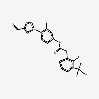 O=Cc1cn(-c2ncc(NC(=O)Cc3cccc(C(F)(F)F)c3F)cc2F)cn1